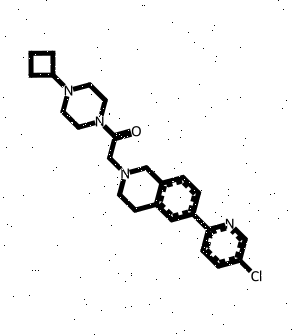 O=C(CN1CCc2cc(-c3ccc(Cl)cn3)ccc2C1)N1CCN(C2CCC2)CC1